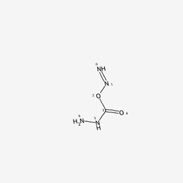 N=NOC(=O)NN